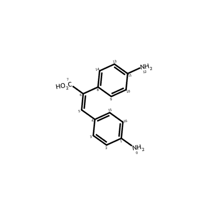 Nc1ccc(C=C(C(=O)O)c2ccc(N)cc2)cc1